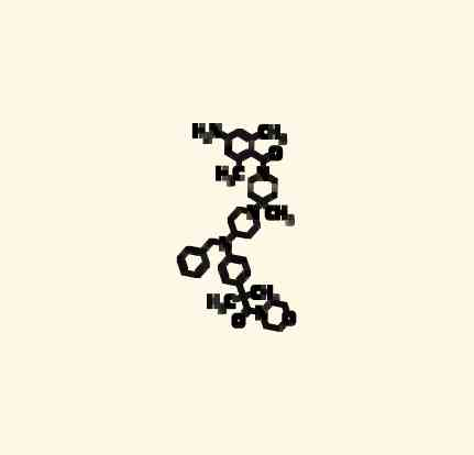 Cc1cc(N)cc(C)c1C(=O)N1CCC(C)(N2CCC(N(Cc3ccccc3)c3ccc(C(C)(C)C(=O)N4CCOCC4)cc3)CC2)CC1